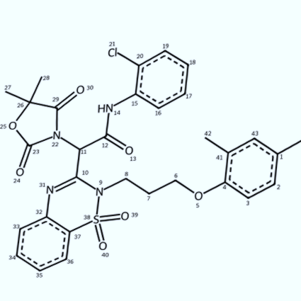 Cc1ccc(OCCCN2C(C(C(=O)Nc3ccccc3Cl)N3C(=O)OC(C)(C)C3=O)=Nc3ccccc3S2(=O)=O)c(C)c1